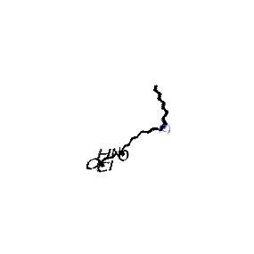 CCCCCCCC/C=C\CCCCCCCC(=O)NCCC(=O)Cl